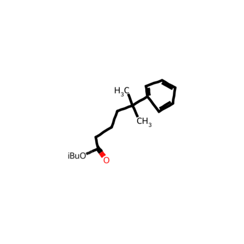 CC(C)COC(=O)CCCC(C)(C)c1ccccc1